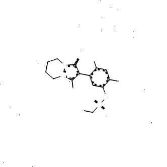 O=c1c(-c2cc(NS(=O)(=O)CCl)c(F)cc2F)c(Cl)n2n1CCCC2